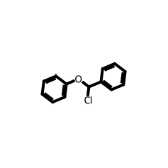 ClC(Oc1[c]cccc1)c1ccccc1